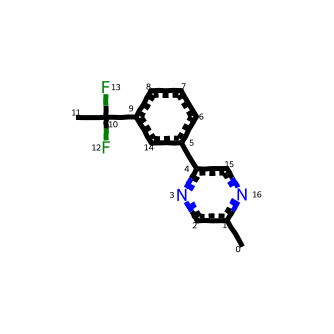 Cc1cnc(-c2cccc(C(C)(F)F)c2)cn1